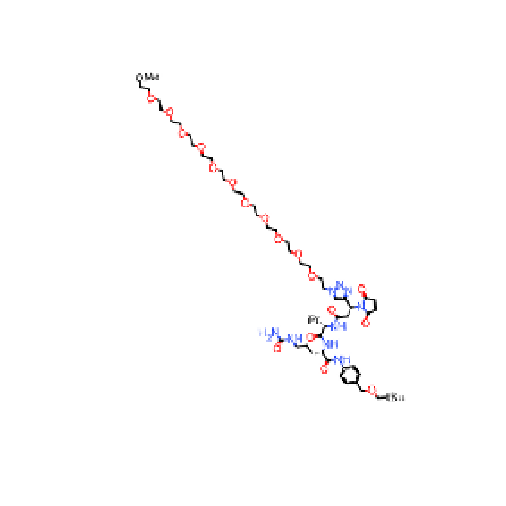 COCCOCCOCCOCCOCCOCCOCCOCCOCCOCCOCCOCCn1cc([C@H](CC(=O)N[C@H](C(=O)N[C@@H](CCCNC(N)=O)C(=O)Nc2ccc(COCC(C)(C)C)cc2)C(C)C)N2C(=O)C=CC2=O)nn1